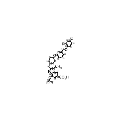 Cn1c(CN2CCC(Oc3cccc(COc4ccc(Cl)cc4F)n3)CC2)nc2c(OC(F)F)cc(C(=O)O)cc21